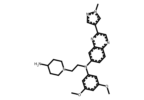 COc1cc(OC)cc(N(CCN2CCC(N)CC2)c2ccc3ncc(-c4cnn(C)c4)nc3c2)c1